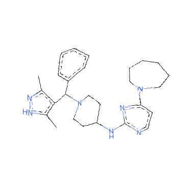 Cc1n[nH]c(C)c1C(c1ccccc1)N1CCC(Nc2nccc(N3CCCCCC3)n2)CC1